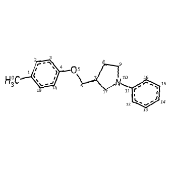 Cc1ccc(OCC2CCN(c3ccccc3)C2)cc1